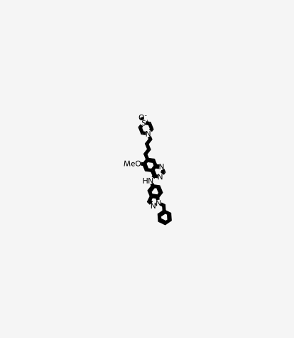 COc1cc2c(Nc3ccc4c(cnn4Cc4ccccc4)c3)ncnc2cc1CCCCN1CC[S+]([O-])CC1